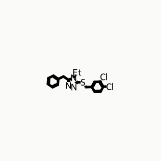 CCn1c(Cc2ccccc2)nnc1SCc1ccc(Cl)c(Cl)c1